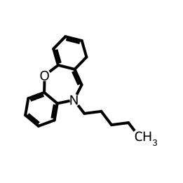 CCCCCN1C=C2CC=CC=C2Oc2ccccc21